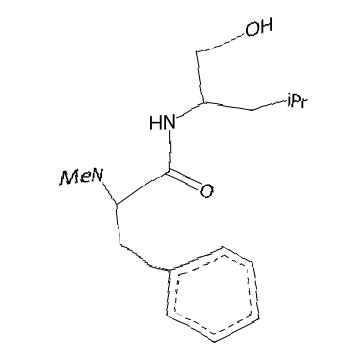 CNC(Cc1ccccc1)C(=O)NC(CO)CC(C)C